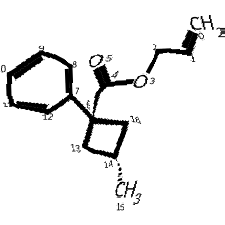 C=CCOC(=O)[C@]1(c2ccccc2)C[C@@H](C)C1